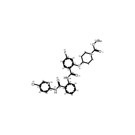 CC(C)(C)OC(=O)N1CCC(Oc2cc(F)ccc2C(=O)Nc2ccccc2C(=O)Nc2ccc(Cl)cn2)CC1